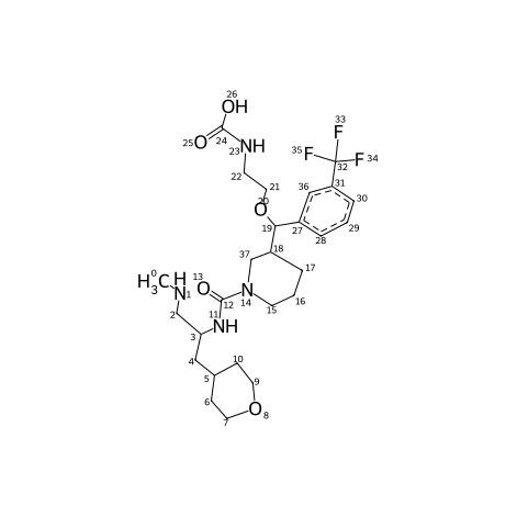 CNCC(CC1CCOCC1)NC(=O)N1CCCC(C(OCCNC(=O)O)c2cccc(C(F)(F)F)c2)C1